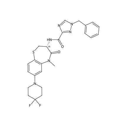 CN1C(=O)[C@@H](NC(=O)c2ncn(Cc3ccccc3)n2)CSc2ccc(N3CCC(F)(F)CC3)cc21